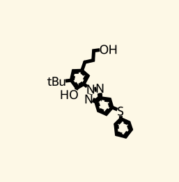 CC(C)(C)c1cc(CCCO)cc(-n2nc3ccc(Sc4ccccc4)cc3n2)c1O